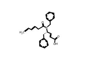 C=CC=CCC(=O)N(Cc1ccccc1)[C@H](C=CC(=O)O)Cc1ccccc1